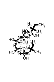 CCC(C)(C)N=P(O)(O)N=P(O)(O)N=P(O)(O)N=P(O)(O)N=P(O)(O)C(C)(C)CC